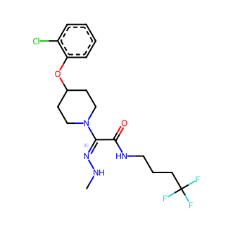 CN/N=C(\C(=O)NCCCC(F)(F)F)N1CCC(Oc2ccccc2Cl)CC1